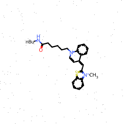 CCCCNC(=O)CCCCCN1C=CC(=Cc2sc3ccccc3[n+]2C)c2ccccc21